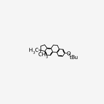 [CH2]C(C)(C)Oc1ccc2c(c1)CCc1c-2ccc2c1CCC2(C)C